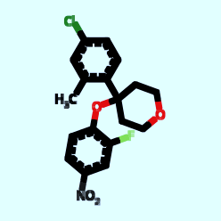 Cc1cc(Cl)ccc1C1(Oc2ccc([N+](=O)[O-])cc2F)CCOCC1